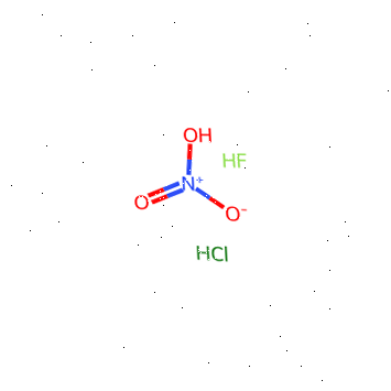 Cl.F.O=[N+]([O-])O